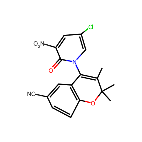 CC1=C(n2cc(Cl)cc([N+](=O)[O-])c2=O)c2cc(C#N)ccc2OC1(C)C